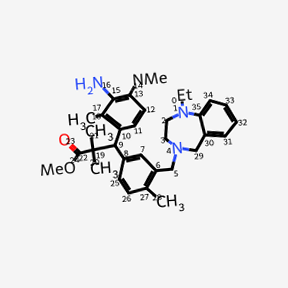 CCN1CCN(Cc2cc(C(c3ccc(NC)c(N)c3C)C(C)(C)C(=O)OC)ccc2C)Cc2ccccc21